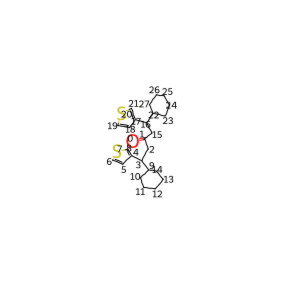 O=C(CC(c1ccsc1)C1CCCCC1)CC(c1ccsc1)C1CCCCC1